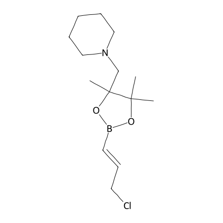 CC1(C)OB(/C=C/CCl)OC1(C)CN1CCCCC1